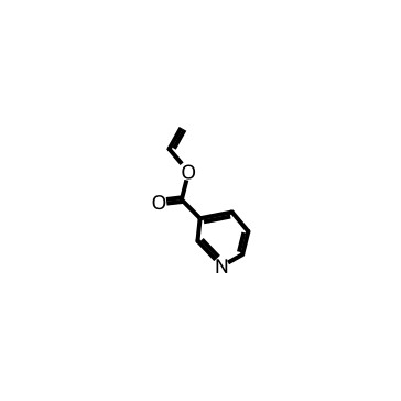 C=COC(=O)c1cccnc1